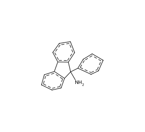 NC1(c2ccccc2)c2ccccc2-c2ccccc21